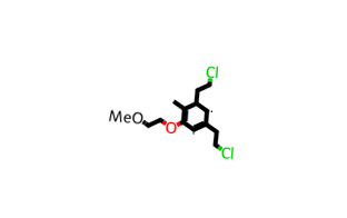 COCCOC1=C(C)C(CCCl)[CH]C(CCCl)=[C]1